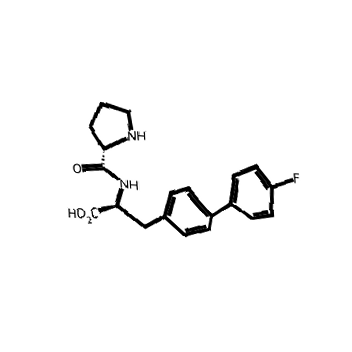 O=C(O)[C@H](Cc1ccc(-c2ccc(F)cc2)cc1)NC(=O)[C@@H]1CCCN1